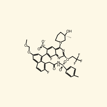 COCOc1cc(-c2c([N+](=O)[O-])cc3c(N4CCC[C@@](C)(O)C4)nc(OCC(F)(F)F)nc3c2F)c2c(CC(=O)NS(=O)(=O)c3ccc(C)cc3)c(F)ccc2c1